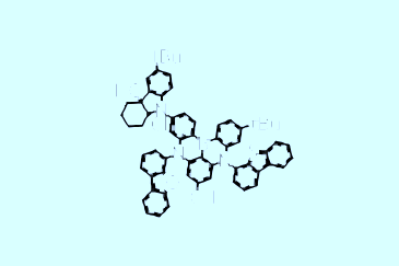 Cc1cc2c3c(c1)N(c1cccc4c1sc1ccccc14)c1cc(C(C)(C)C)ccc1B3c1ccc(N3c4ccc(C(C)(C)C)cc4C4(C)CCCCC34C)cc1N2c1cccc2c1oc1ccccc12